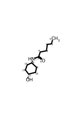 CCCCCC(=O)N[C@H]1CC[C@H](O)CC1